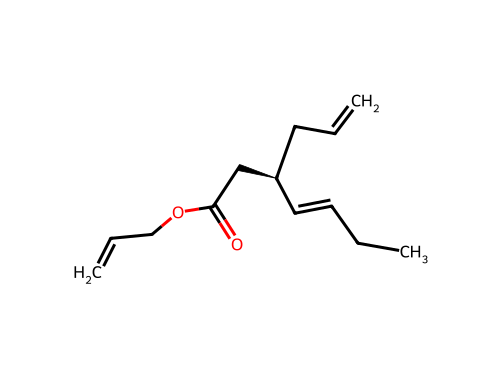 C=CCOC(=O)C[C@H](C=CCC)CC=C